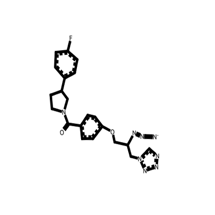 [N-]=[N+]=NC(COc1ccc(C(=O)N2CCC(c3ccc(F)cc3)C2)cc1)Cn1cnnn1